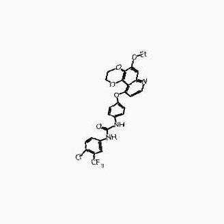 CCOc1cc2nccc(Oc3ccc(NC(=O)Nc4ccc(Cl)c(C(F)(F)F)c4)cc3)c2c2c1OCCO2